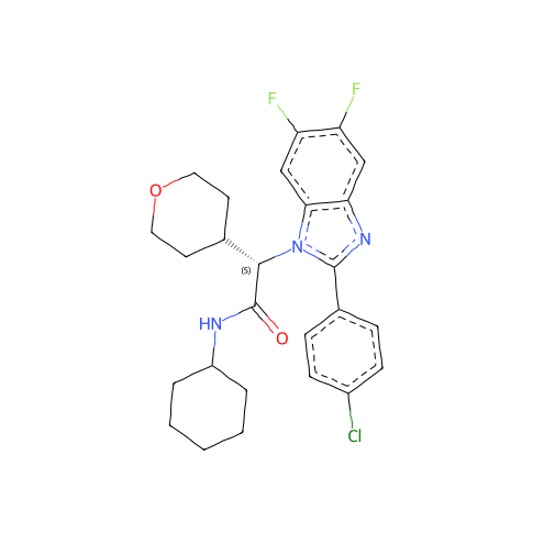 O=C(NC1CCCCC1)[C@H](C1CCOCC1)n1c(-c2ccc(Cl)cc2)nc2cc(F)c(F)cc21